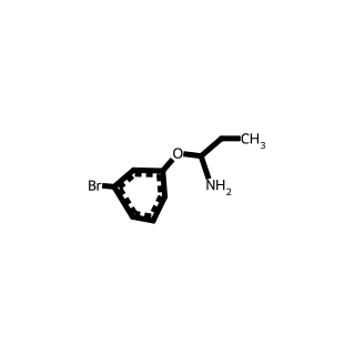 CCC(N)Oc1cccc(Br)c1